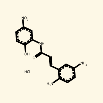 Cl.Nc1ccc(N)c(/C=C/C(=O)Nc2cc([N+](=O)[O-])ccc2O)c1